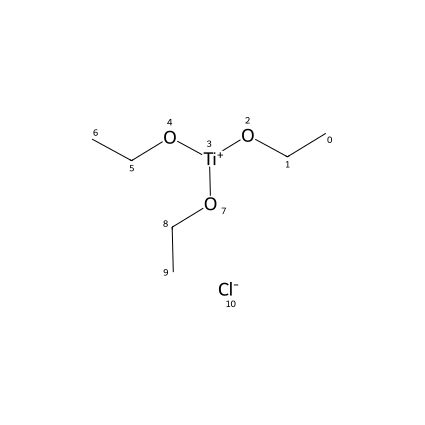 CC[O][Ti+]([O]CC)[O]CC.[Cl-]